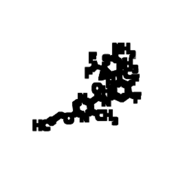 C#CCOc1cnc(C(=O)Nc2cc(F)c(F)c([C@@]3(C)N=C(N)S[C@@]4(C(F)F)C[C@@H]34)c2)c(C)n1